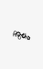 O=C1CCC(c2ccc(N3CCCC3)nc2)C(=O)N1